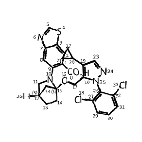 O=C(O)c1cc2scnc2cc1N1C[C@H]2CC[C@]1(OCc1c(C3CC3)cnn1-c1c(Cl)cccc1Cl)C2